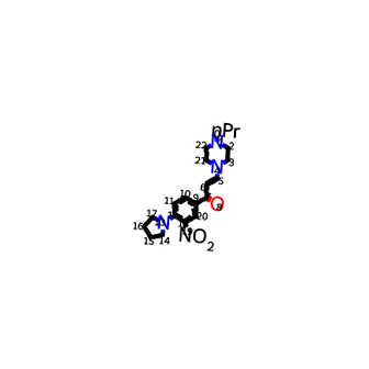 CCCN1CCN(C=CC(=O)c2ccc(N3CCCC3)c([N+](=O)[O-])c2)CC1